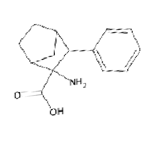 NC1(C(=O)O)C2CCC(C2)C1c1ccccc1